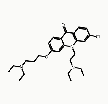 CCN(CC)CCCOc1ccc2c(=O)c3ccc(Cl)cc3n(CCN(CC)CC)c2c1